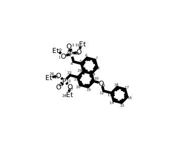 CCOP(=O)(Cc1cccc2c(OCc3ccccc3)ccc(CP(=O)(OCC)OCC)c12)OCC